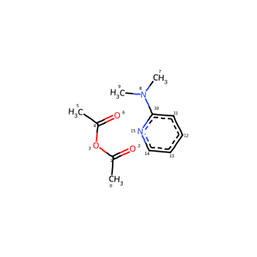 CC(=O)OC(C)=O.CN(C)c1ccccn1